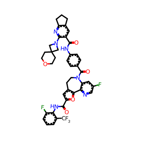 O=C(Nc1c(F)cccc1C(F)(F)F)c1cc2c(o1)-c1ncc(F)cc1N(C(=O)c1ccc(NC(=O)c3cc4c(nc3N3CC5(CCOCC5)C3)CCC4)cc1)CC2